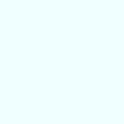 c1ccc(-c2ccc(N(c3ccc4c(c3)c3ccccc3c3ccccc3c3ccccc3c3c4cc4ccc5cccc6ccc3c4c56)c3cccc4oc5ccccc5c34)cc2)cc1